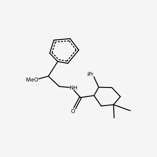 COC(CNC(=O)C1CC(C)(C)CCC1C(C)C)c1ccccc1